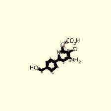 Nc1cc(-c2ccc(CO)cc2)nc(OC(=O)O)c1Cl